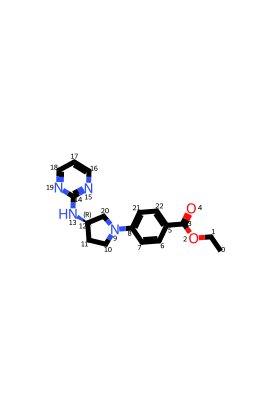 CCOC(=O)c1ccc(N2CC[C@@H](Nc3ncccn3)C2)cc1